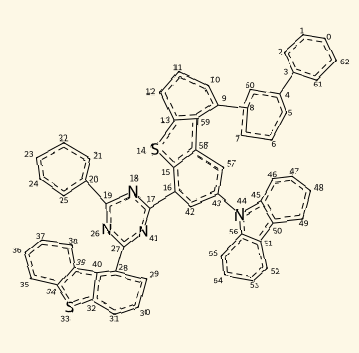 c1ccc(-c2cccc(-c3cccc4sc5c(-c6nc(-c7ccccc7)nc(-c7cccc8sc9ccccc9c78)n6)cc(-n6c7ccccc7c7ccccc76)cc5c34)c2)cc1